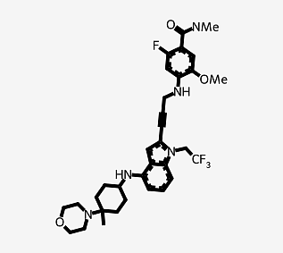 CNC(=O)c1cc(OC)c(NCC#Cc2cc3c(NC4CCC(C)(N5CCOCC5)CC4)cccc3n2CC(F)(F)F)cc1F